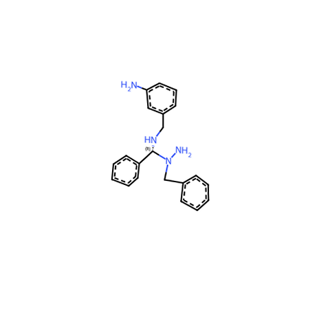 Nc1cccc(CN[C@@H](c2ccccc2)N(N)Cc2ccccc2)c1